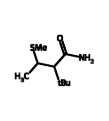 CSC(C)C(C(N)=O)C(C)(C)C